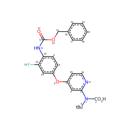 CC(C)(C)N(C(=O)O)c1cc(Oc2ccc(NC(=O)OCc3ccccc3)c(F)c2)ccn1